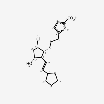 O=C(O)c1ccc(CCC[C@@H]2[C@@H](/C=C/C3CCCC3)[C@H](O)C[C@H]2Cl)s1